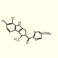 COc1cnc(C(=O)N2Cc3[nH]c4c(Cl)c(Cl)ccc4c3C2C)nc1